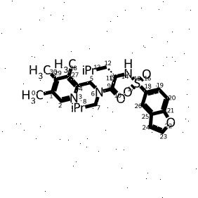 Cc1cnc(CN(CC(C)C)C(=O)[C@H](CC(C)C)NS(=O)(=O)c2ccc3occc3c2)c(C)c1C